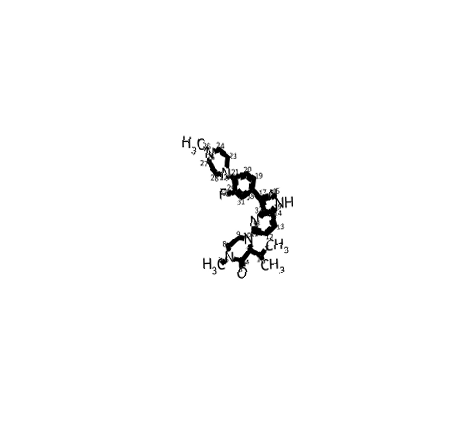 CC(C)C1C(=O)N(C)CCN1c1ccc2[nH]nc(-c3ccc(N4CCN(C)CC4)c(F)c3)c2n1